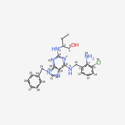 CCC(CO)Nc1nc(NCc2cccc(Cl)c2N)c2ncn(Cc3ccccc3)c2n1